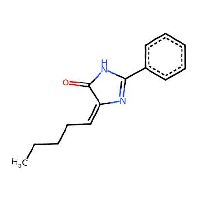 CCCCC=C1N=C(c2ccccc2)NC1=O